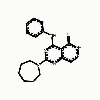 O=c1[nH]ncc2nc(N3CCCCCC3)nc(Nc3[c]cccc3)c12